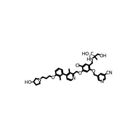 Cc1c(OCCCN2CC[C@@H](O)C2)cccc1-c1ccnc(COc2cc(OCc3cncc(C#N)c3)c(CN[C@@](C)(CO)C(=O)O)cc2Cl)c1C